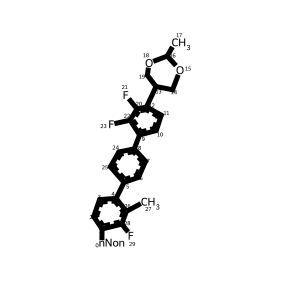 CCCCCCCCCc1ccc(-c2ccc(-c3ccc(C4COC(C)OC4)c(F)c3F)cc2)c(C)c1F